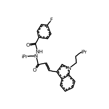 CC(C)CCn1cc(C=CC(=O)N(NC(=O)c2ccc(F)cc2)C(C)C)c2ccccc21